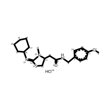 COc1ccc(CNC(=O)CC2CSC(=NC3CCCCC3)N2C)cc1.Cl